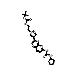 CC(C)(C)OC(=O)NCCn1cc(-c2cnc3ccc(NC(=O)NC4CCCC4)nc3n2)cn1